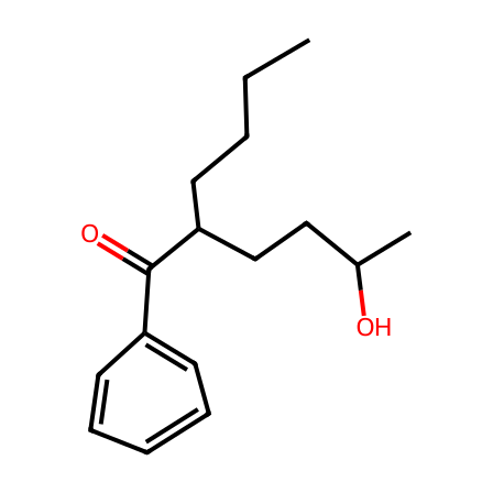 CCCCC(CCC(C)O)C(=O)c1ccccc1